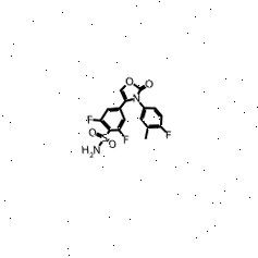 Cc1cc(-n2c(-c3cc(F)c(S(N)(=O)=O)c(F)c3)coc2=O)ccc1F